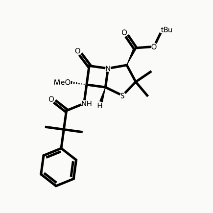 CO[C@]1(NC(=O)C(C)(C)c2ccccc2)C(=O)N2[C@@H](C(=O)OC(C)(C)C)C(C)(C)S[C@@H]21